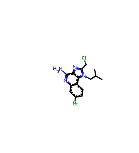 CC(C)Cn1c(CCl)nc2c(N)nc3cc(Br)ccc3c21